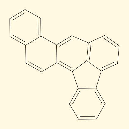 c1ccc2c(c1)-c1cccc3cc4c(ccc5ccccc54)c-2c13